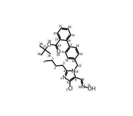 CCCCc1nc(Cl)c(C=NO)n1Cc1ccc(-c2ccccc2C(=O)OC(C)(C)C)cc1